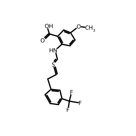 COc1ccc(NC=S=CCc2cccc(C(F)(F)F)c2)c(C(=O)O)c1